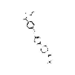 CN(CCO)C(=O)c1ccc(COc2cnc(N3CCN(C(=O)OC(C)(C)C)CC3)nc2)cc1